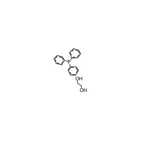 OCCO.c1ccc(P(c2ccccc2)c2ccccc2)cc1